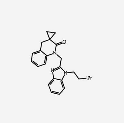 CC(C)CCn1c(CN2C(=O)C3(CC3)Cc3ccccc32)nc2ccccc21